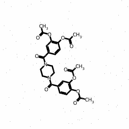 CC(=O)Oc1ccc(C(=O)N2CCN(C(=O)c3ccc(OC(C)=O)c(OC(C)=O)c3)CC2)cc1OC(C)=O